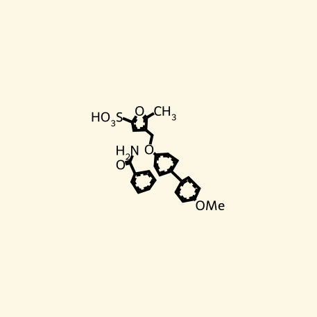 COc1ccc(-c2ccc(OCc3cc(S(=O)(=O)O)oc3C)cc2)cc1.NC(=O)c1ccccc1